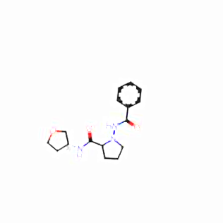 O=C(NN1CCCC1C(=O)N[C@@H]1CCOC1)c1ccccc1